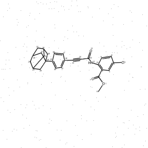 COC(=O)c1cc(Cl)ccc1NC(=O)C#Cc1ccc(C23CC4CC(CC(C4)C2)C3)cc1